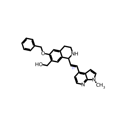 Cn1ccc2c(/C=C/C3NCCc4cc(OCc5ccccc5)c(CO)cc43)ccnc21